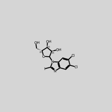 OC[C@H]1OC(n2c(I)nc3cc(Cl)c(Cl)cc32)[C@H](O)[C@@H]1O